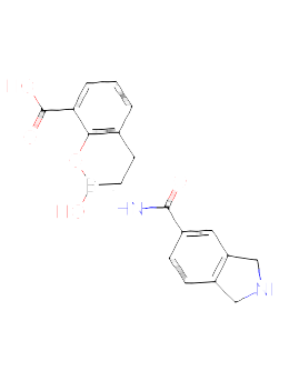 O=C(N[C@H]1Cc2cccc(C(=O)O)c2OB1O)c1ccc2c(c1)CNC2